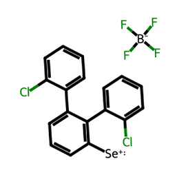 Clc1ccccc1-c1cccc([Se+])c1-c1ccccc1Cl.F[B-](F)(F)F